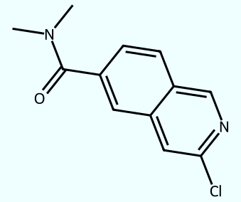 CN(C)C(=O)c1ccc2cnc(Cl)cc2c1